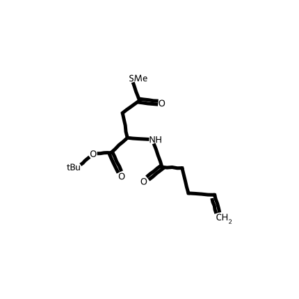 C=CCCC(=O)NC(CC(=O)SC)C(=O)OC(C)(C)C